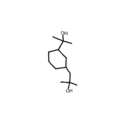 CC(C)(O)CC1CCCC(C(C)(C)O)C1